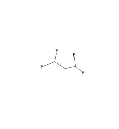 F[C](F)C[C](F)F